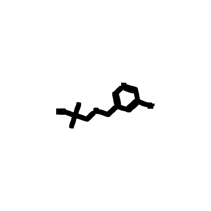 CC(C)(O)COCc1cncc(Br)c1